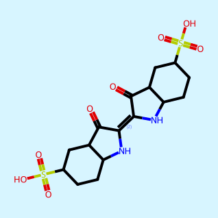 O=C1/C(=C2/NC3CCC(S(=O)(=O)O)CC3C2=O)NC2CCC(S(=O)(=O)O)CC12